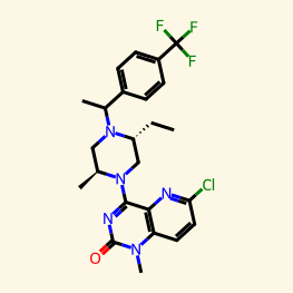 CC[C@@H]1CN(c2nc(=O)n(C)c3ccc(Cl)nc23)[C@@H](C)CN1C(C)c1ccc(C(F)(F)F)cc1